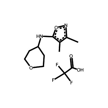 Cc1noc(NC2CCOCC2)c1C.O=C(O)C(F)(F)F